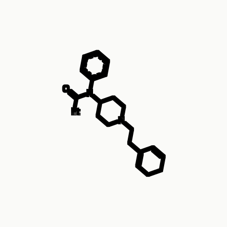 CCC(=O)N(c1ccccc1)C1CCN(CCC2=CCCC=C2)CC1